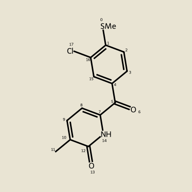 CSc1ccc(C(=O)c2ccc(C)c(=O)[nH]2)cc1Cl